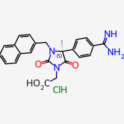 C[C@]1(c2ccc(C(=N)N)cc2)C(=O)N(CC(=O)O)C(=O)N1Cc1ccc2ccccc2c1.Cl